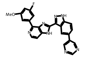 COc1cc(F)cc(-c2nccc3[nH]c(-c4n[nH]c5ccc(-c6cncnc6)cc45)nc23)c1